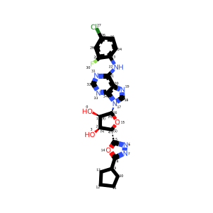 O[C@@H]1[C@H](O)[C@@H](c2nnc(C3CCCC3)o2)O[C@H]1n1cnc2c(Nc3ccc(Cl)cc3F)ncnc21